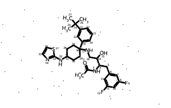 CC(=O)NC(Cc1cc(F)cc(F)c1)C(O)CNC1(c2cccc(C(C)(C)C)c2)CCC(Nc2nccs2)CC1